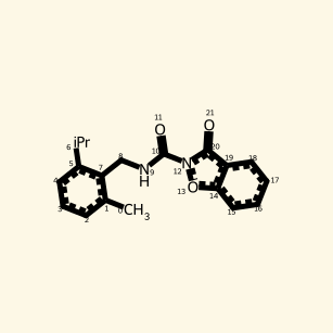 Cc1cccc(C(C)C)c1CNC(=O)n1oc2ccccc2c1=O